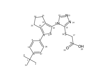 CC(C)(C)c1ccc(-c2sc(-n3cnnc3SCC(=O)O)c3c2CCC3)cc1